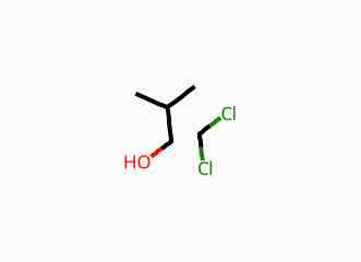 CC(C)CO.ClCCl